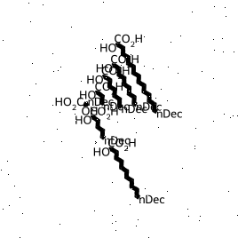 CCCCCCCCCCC(O)C(=O)O.CCCCCCCCCCCCC(O)C(=O)O.CCCCCCCCCCCCCCC(O)C(=O)O.CCCCCCCCCCCCCCCCC(O)C(=O)O.CCCCCCCCCCCCCCCCCCC(O)C(=O)O.CCCCCCCCCCCCCCCCCCCCC(O)C(=O)O.CCCCCCCCCCCCCCCCCCCCCCCCC(O)C(=O)O